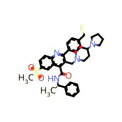 C[C@H](NC(=O)c1c(CN2CCC(N3CCCC3)CC2)c(-c2ccc(CF)cc2)nc2ccc(S(C)(=O)=O)cc12)c1ccccc1